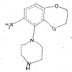 Nc1ccc2c(c1N1CCNCC1)OCCO2